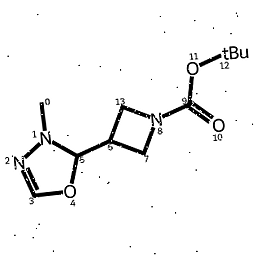 CN1N=COC1C1CN(C(=O)OC(C)(C)C)C1